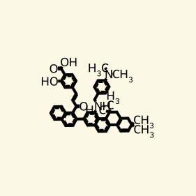 CN(C)c1ccc(CNc2cc(-c3ccc4ccccc4c3C(=O)C=Cc3ccc(C(=O)O)c(O)c3)cc3ccc4c(c23)C(C)(C)CC2=C4C=CC(C)(C)C2)cc1